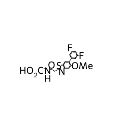 COc1cc2nc(CC(=O)NCC(=O)O)sc2cc1-c1cc(F)cc(F)c1